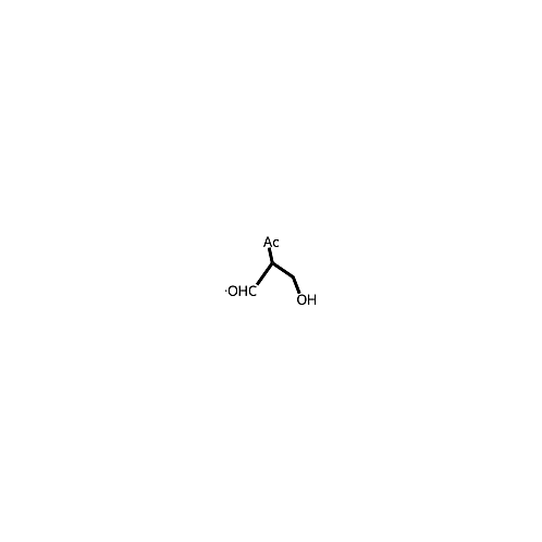 CC(=O)C([C]=O)CO